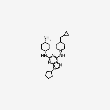 N[C@H]1CC[C@H](Nc2nc(NN3CCC(CC4CC4)CC3)c3ncn(C4CCCC4)c3n2)CC1